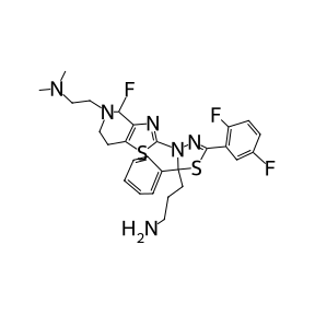 CN(C)CCN1CCc2sc(N3N=C(c4cc(F)ccc4F)SC3(CCCN)c3ccccc3)nc2C1F